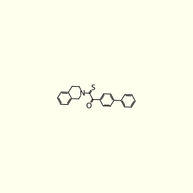 O=C(C(=S)N1CCc2ccccc2C1)c1ccc(-c2ccccc2)cc1